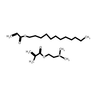 C=C(C)C(=O)OCCN(C)C.C=CC(=O)OCCCCCCCCCCCC